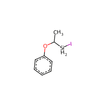 CC(Oc1ccccc1)[SiH2]I